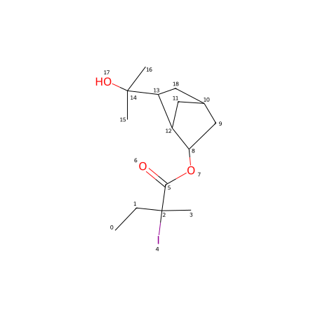 CCC(C)(I)C(=O)OC1CC2CC1C(C(C)(C)O)C2